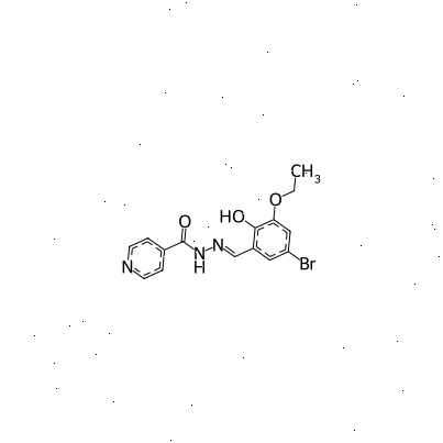 CCOc1cc(Br)cc(/C=N/NC(=O)c2ccncc2)c1O